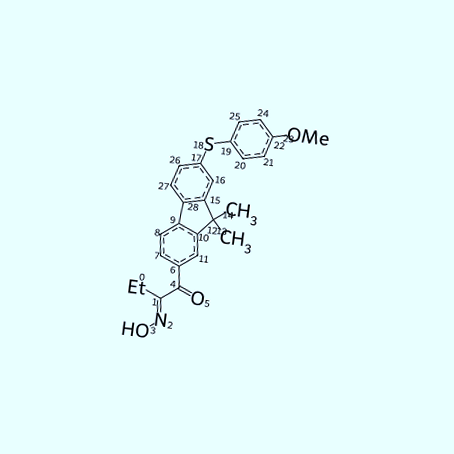 CC/C(=N\O)C(=O)c1ccc2c(c1)C(C)(C)c1cc(Sc3ccc(OC)cc3)ccc1-2